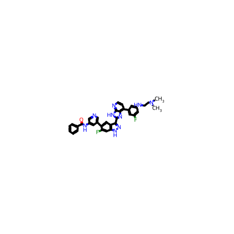 CN(C)CCNc1cc(F)cc(-c2ccnc3[nH]c(-c4n[nH]c5cc(F)c(-c6cncc(NC(=O)c7ccccc7)c6)cc45)nc23)c1